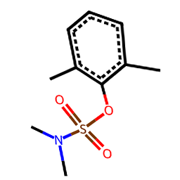 Cc1cccc(C)c1OS(=O)(=O)N(C)C